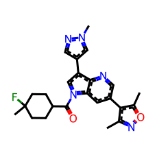 Cc1noc(C)c1-c1cnc2c(-c3cnn(C)c3)cn(C(=O)C3CCC(C)(F)CC3)c2c1